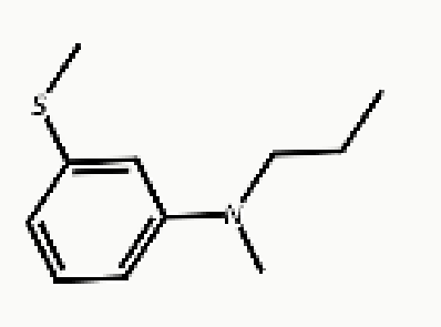 CCCN(C)c1cccc(SC)c1